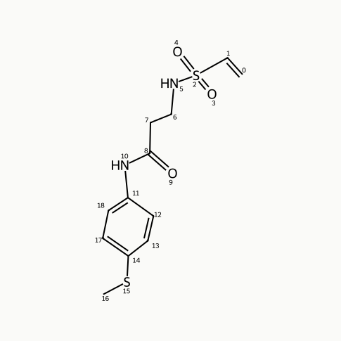 C=CS(=O)(=O)NCCC(=O)Nc1ccc(SC)cc1